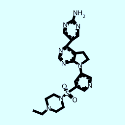 CCN1CCN(S(=O)(=O)c2cncc(N3CCc4c(-c5cnc(N)nc5)ncnc43)c2)CC1